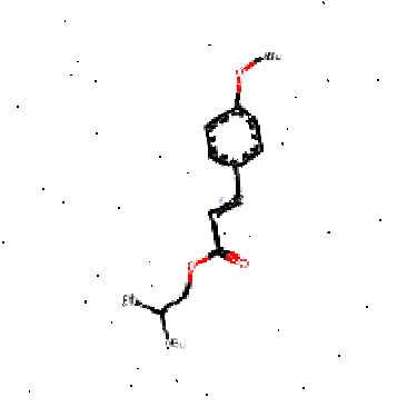 CCCCC(CC)COC(=O)/C=C/c1ccc(OC(C)(C)C)cc1